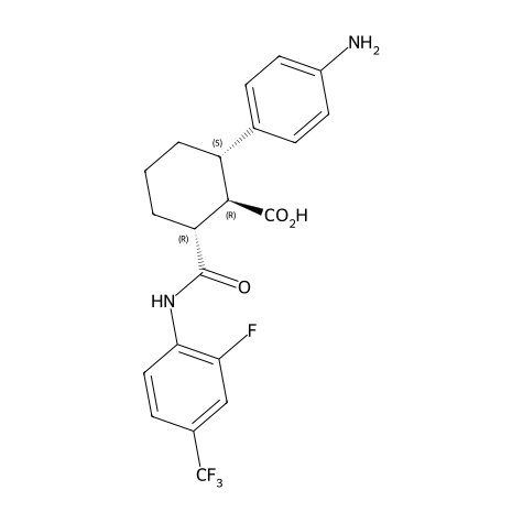 Nc1ccc([C@H]2CCC[C@@H](C(=O)Nc3ccc(C(F)(F)F)cc3F)[C@@H]2C(=O)O)cc1